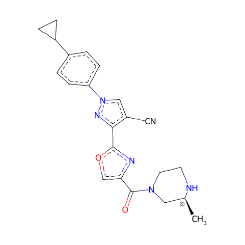 C[C@H]1CN(C(=O)c2coc(-c3nn(-c4ccc(C5CC5)cc4)cc3C#N)n2)CCN1